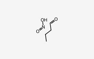 CCCC=O.O=NO